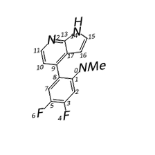 CNc1cc(F)c(F)cc1-c1ccnc2[nH]ccc12